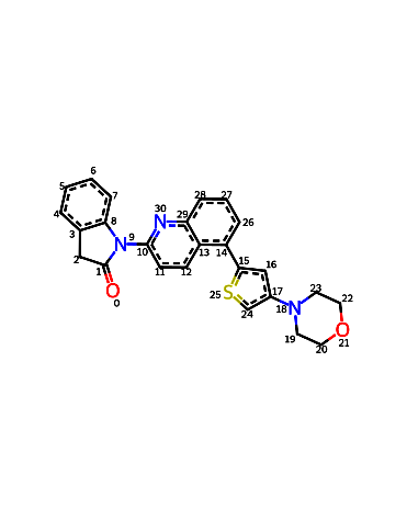 O=C1Cc2ccccc2N1c1ccc2c(-c3cc(N4CCOCC4)cs3)cccc2n1